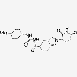 CC(C)(C)C1CCC(NC(=O)NC(=O)C2C=CC3=CN(C4CCC(=O)NC4=O)CC3C2)CC1